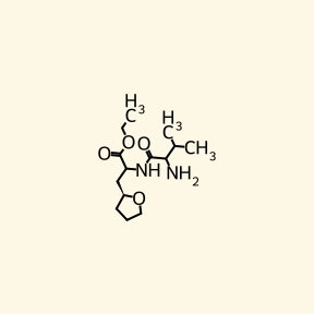 CCOC(=O)C(C[C@@H]1CCCO1)NC(=O)C(N)C(C)C